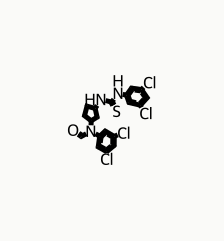 O=CN(c1cc(Cl)cc(Cl)c1)C1CCC(NC(=S)Nc2cc(Cl)cc(Cl)c2)C1